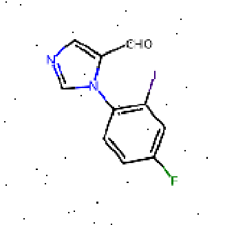 O=Cc1cncn1-c1ccc(F)cc1I